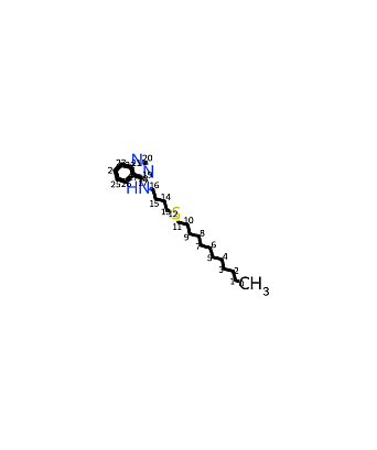 CCCCCCCCCCCCSCCCCNc1ncnc2ccccc12